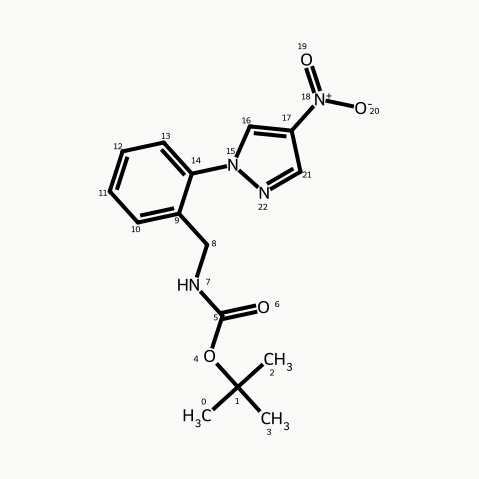 CC(C)(C)OC(=O)NCc1ccccc1-n1cc([N+](=O)[O-])cn1